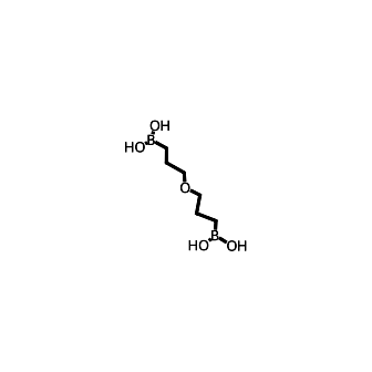 OB(O)CCCOCCCB(O)O